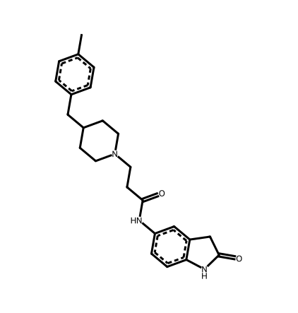 Cc1ccc(CC2CCN(CCC(=O)Nc3ccc4c(c3)CC(=O)N4)CC2)cc1